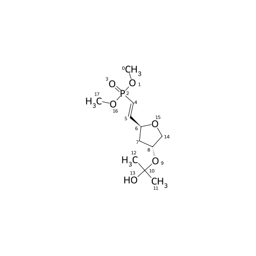 COP(=O)(/C=C/[C@@H]1C[C@@H](OC(C)(C)O)CO1)OC